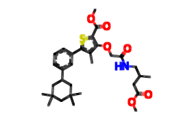 COC(=O)CC(C)CNC(=O)COc1c(C(=O)OC)sc(-c2cccc(C3CC(C)(C)CC(C)(C)C3)c2)c1C